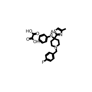 CC(=O)N(c1ccccc1)C1(c2nc(C)cs2)CCN(Cc2ccc(F)cc2)CC1.O=C(O)C(=O)O